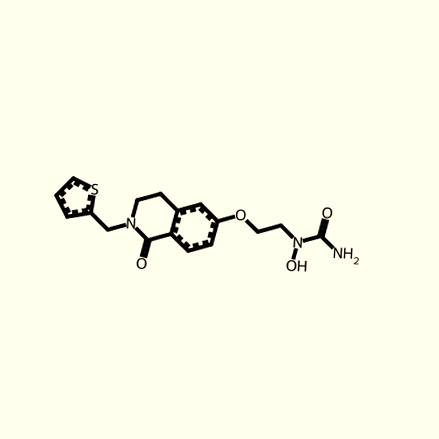 NC(=O)N(O)CCOc1ccc2c(c1)CCN(Cc1cccs1)C2=O